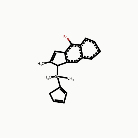 CC1=Cc2c(cc3ccccc3c2Br)C1[Si](C)(C)C1=CC=CC1